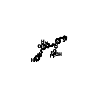 O=C(/C=C/c1cnc2c(c1)CN(CCN1CC3(CCNCC3)C1)C(=O)N2)N1CC=C(Cc2cccs2)CC1.O=C(O)C(F)(F)F